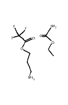 CCOC(N)=O.NCCCOC(=O)C(F)(F)F